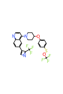 FC(F)(F)OSc1ccc(OC2CCN(c3ccnc4ccc(C5=CN=C5C(F)(F)F)cc34)CC2)cc1